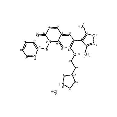 Cc1noc(C)c1-c1cc2ccc(=O)n(Cc3ccccn3)c2cc1OCCC1CCNC1.Cl